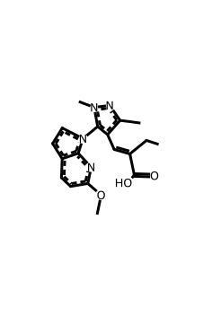 CCC(=Cc1c(C)nn(C)c1-n1ccc2ccc(OC)nc21)C(=O)O